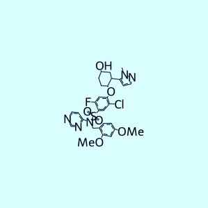 COc1ccc(CN(c2ccncn2)S(=O)(=O)c2cc(Cl)c(OC3CCC(O)CC3c3ccnn3C)cc2F)c(OC)c1